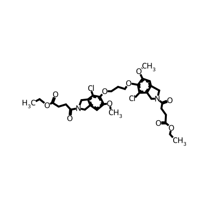 CCOC(=O)CCC(=O)N1Cc2cc(OC)c(OCCCOc3c(OC)cc4c(c3Cl)CN(C(=O)CCC(=O)OCC)C4)c(Cl)c2C1